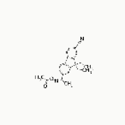 CCC1(CC)c2cc(C#N)ccc2-c2ccc(/C(C)=N\OC(C)=O)cc21